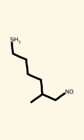 CC(CCCC[SiH3])CN=O